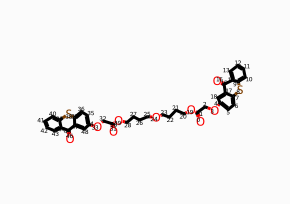 O=C(COc1ccc2sc3ccccc3c(=O)c2c1)OCCCCOCCCCOC(=O)COc1ccc2sc3ccccc3c(=O)c2c1